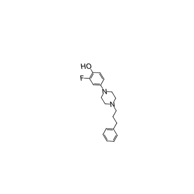 Oc1ccc(N2CCN(CCCc3ccccc3)CC2)cc1F